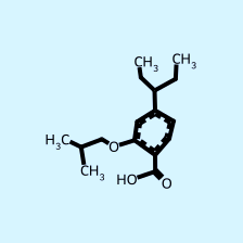 CCC(CC)c1ccc(C(=O)O)c(OCC(C)C)c1